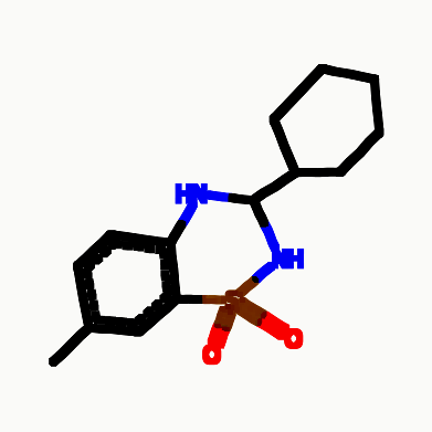 Cc1ccc2c(c1)S(=O)(=O)NC(C1CCCCC1)N2